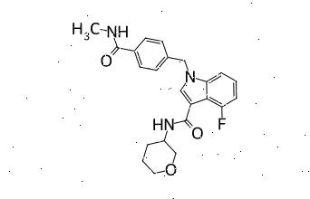 CNC(=O)c1ccc(Cn2cc(C(=O)NC3CCCOC3)c3c(F)cccc32)cc1